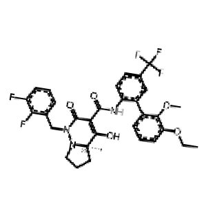 CCOc1cccc(-c2cc(C(F)(F)F)ccc2NC(=O)C2=C(O)[C@@]3(C)CCCN3N(Cc3cccc(F)c3F)C2=O)c1OC